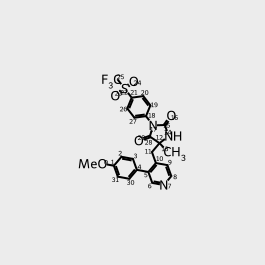 COc1ccc(-c2cnccc2CC2(C)NC(=O)N(c3ccc(S(=O)(=O)C(F)(F)F)cc3)C2=O)cc1